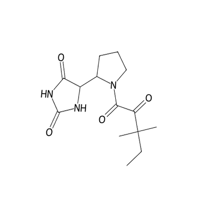 CCC(C)(C)C(=O)C(=O)N1CCCC1C1NC(=O)NC1=O